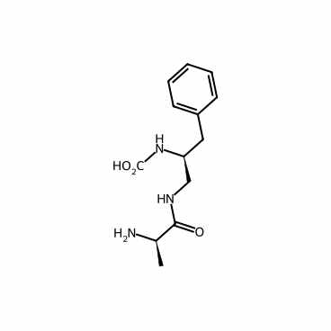 C[C@@H](N)C(=O)NC[C@H](Cc1ccccc1)NC(=O)O